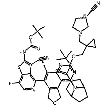 CC(C)(C)OC(=O)Nc1sc2c(F)cnc(-c3c4c(c5c(N6C7CCC6CN(C(=O)OC(C)(C)C)C7)nc(OCC6(CN7CC[C@@H](C#N)C7)CC6)nc5c3F)COC4)c2c1C#N